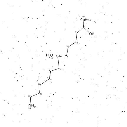 CCCCCCC(O)CCCCCCCCCCCN.O